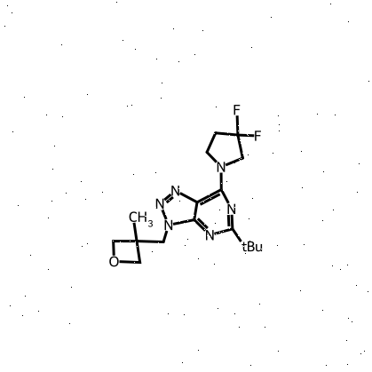 CC1(Cn2nnc3c(N4CCC(F)(F)C4)nc(C(C)(C)C)nc32)COC1